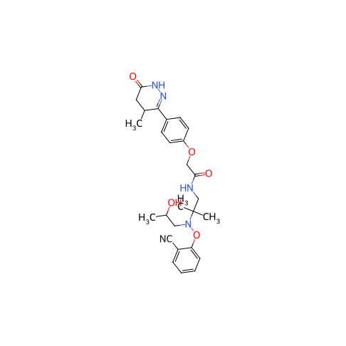 CC(O)CN(Oc1ccccc1C#N)C(C)(C)CNC(=O)COc1ccc(C2=NNC(=O)CC2C)cc1